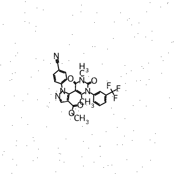 COC(=O)c1cnn(-c2ccc(C#N)cc2)c1-c1c(C)n(-c2cccc(C(F)(F)F)c2)c(=O)n(C)c1=O